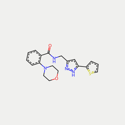 O=C(NCc1cc(-c2cccs2)[nH]n1)c1ccccc1N1CCOCC1